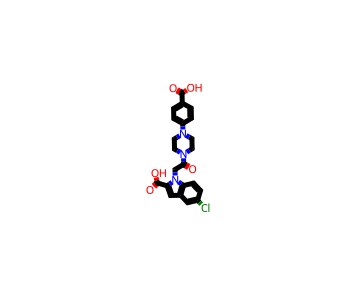 O=C(O)c1ccc(N2CCN(C(=O)Cn3c(C(=O)O)cc4cc(Cl)ccc43)CC2)cc1